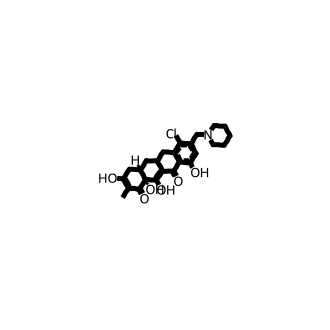 CC1=C(O)C[C@@H]2CC3Cc4c(Cl)c(CN5CCCCC5)cc(O)c4C(=O)C3=C(O)[C@]2(O)C1=O